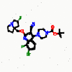 CC(C)(C)OC(=O)N1CCN(c2c(C#N)c(OC[C@@]34CCCN3C[C@H](F)C4)nc3c(F)c(Br)ccc23)CC1